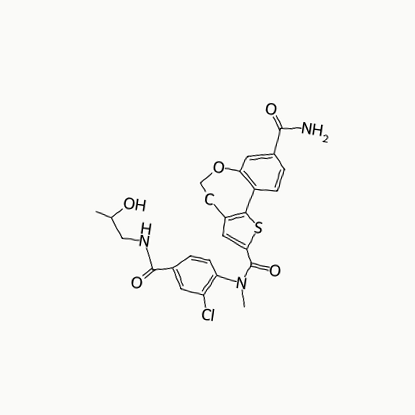 CC(O)CNC(=O)c1ccc(N(C)C(=O)c2cc3c(s2)-c2ccc(C(N)=O)cc2OCC3)c(Cl)c1